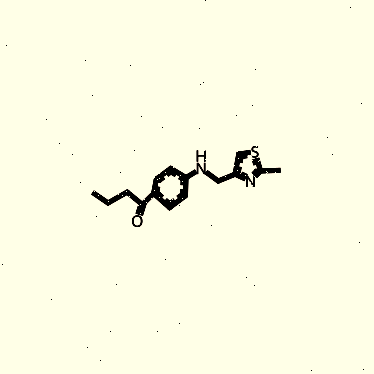 CCCC(=O)c1ccc(NCc2csc(C)n2)cc1